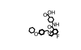 O=C(NC1CCC(C(=O)O)CC1)c1ccc(F)c2ccn(Cc3ccc(OC4CCCCC4)cc3)c12